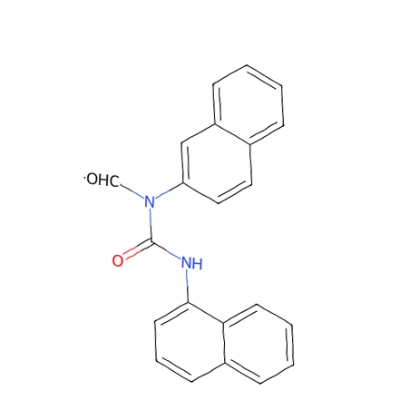 O=[C]N(C(=O)Nc1cccc2ccccc12)c1ccc2ccccc2c1